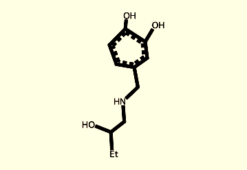 CCC(O)CNCc1ccc(O)c(O)c1